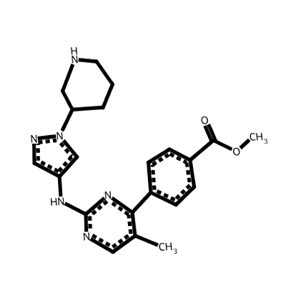 COC(=O)c1ccc(-c2nc(Nc3cnn(C4CCCNC4)c3)ncc2C)cc1